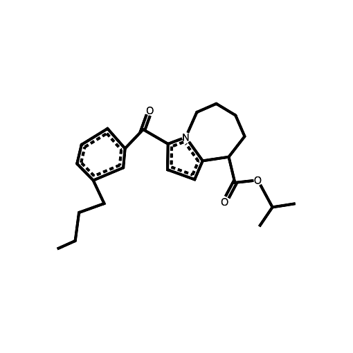 CCCCc1cccc(C(=O)c2ccc3n2CCCCC3C(=O)OC(C)C)c1